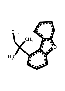 CCC(C)(C)c1cccc2oc3ccccc3c12